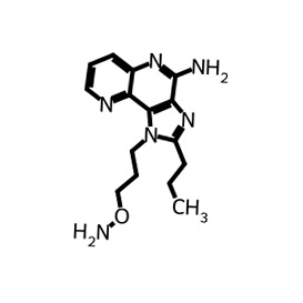 CCCc1nc2c(N)nc3cccnc3c2n1CCCON